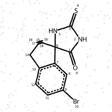 O=C1NC(=S)NC12c1cc(Br)ccc1CC21CC=CC1